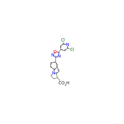 O=C(O)CC1CCn2c1cc1cc(-c3noc(-c4cc(Cl)nc(Cl)c4)n3)ccc12